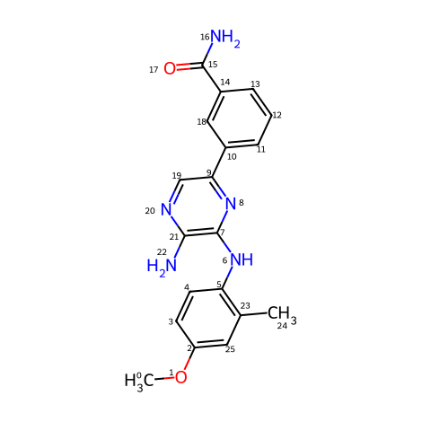 COc1ccc(Nc2nc(-c3cccc(C(N)=O)c3)cnc2N)c(C)c1